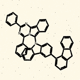 c1ccc(-c2nc(-c3ccccc3)n3c(-n4c5ccccc5c5cc(-c6cccc7c6-c6ccccc6C7)ccc54)c4ccccc4c3n2)cc1